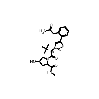 CNC(=O)C1CC(O)CN1C(=O)[C@@H](n1cc(-c2ccccc2CC(N)=O)nn1)C(C)(C)C